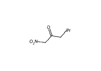 CC(C)CC(=O)C[N+](=O)[O-]